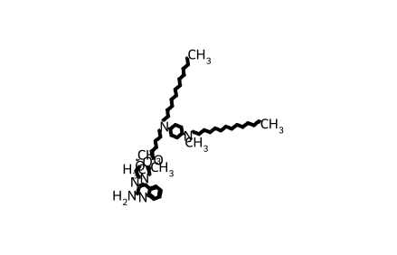 CCCCCCCCCCCCCCN(C)[C@H]1CC[C@@H](N(CCCCCCCCCCCCCC)CCCCCC(=O)OC(C)(C)Cn2c(COCC)nc3c(N)nc4ccccc4c32)CC1